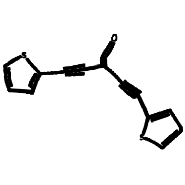 O=C(C#Cc1cccs1)C#Cc1cccs1